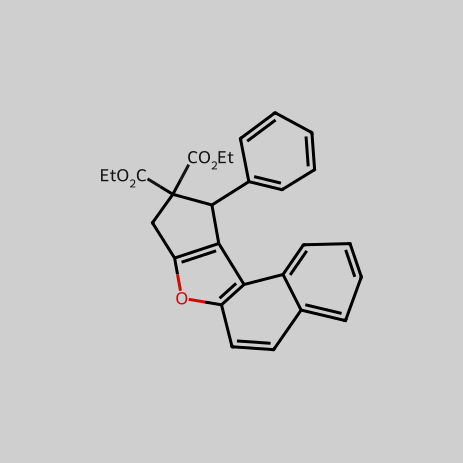 CCOC(=O)C1(C(=O)OCC)Cc2oc3ccc4ccccc4c3c2C1c1ccccc1